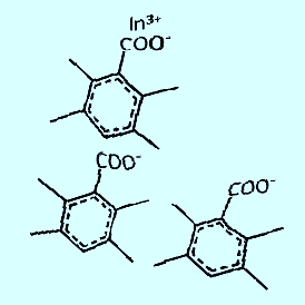 Cc1cc(C)c(C)c(C(=O)[O-])c1C.Cc1cc(C)c(C)c(C(=O)[O-])c1C.Cc1cc(C)c(C)c(C(=O)[O-])c1C.[In+3]